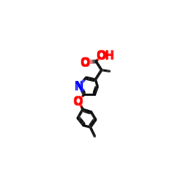 Cc1ccc(Oc2ccc(C(C)C(=O)O)cn2)cc1